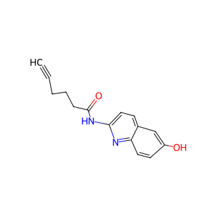 C#CCCCC(=O)Nc1ccc2cc(O)ccc2n1